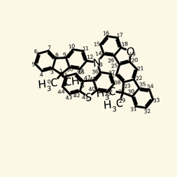 CC1(C)c2ccccc2-c2ccc(N(c3cccc4oc5cc6c(cc5c34)C(C)(C)c3ccccc3-6)c3cccc4sc5ccccc5c34)cc21